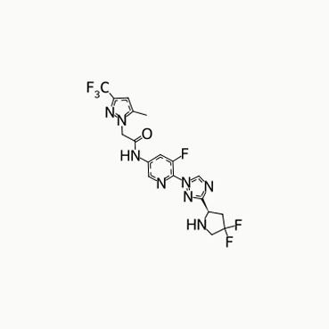 Cc1cc(C(F)(F)F)nn1CC(=O)Nc1cnc(-n2cnc([C@H]3CC(F)(F)CN3)n2)c(F)c1